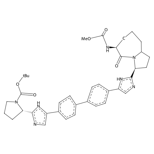 COC(=O)N[C@H]1CCCC2CC[C@@H](c3ncc(-c4ccc(-c5ccc(-c6cnc([C@@H]7CCCN7C(=O)OC(C)(C)C)[nH]6)cc5)cc4)[nH]3)N2C1=O